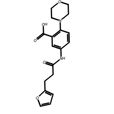 O=C(CCc1ccco1)Nc1ccc(N2CCOCC2)c(C(=O)O)c1